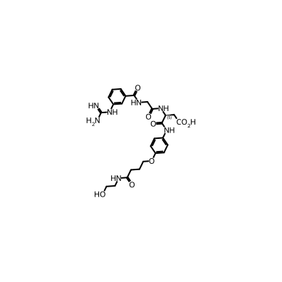 N=C(N)Nc1cccc(C(=O)NCC(=O)N[C@@H](CC(=O)O)C(=O)Nc2ccc(OCCCC(=O)NCCO)cc2)c1